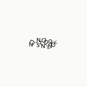 CN(C(=O)C1CCN1C(=O)OC(C)(C)C)c1sc(-c2cccnc2)nc1Cl